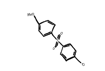 COc1ccc(S(=O)(=O)c2ccc(Cl)cc2)cc1